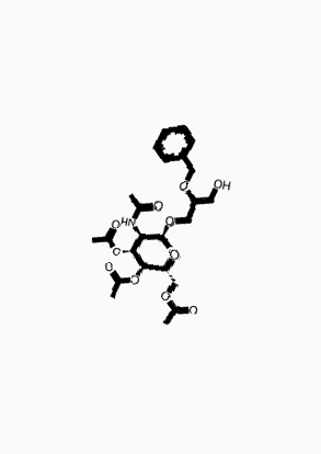 CC(=O)N[C@H]1[C@@H](OCC(CO)OCc2ccccc2)O[C@H](COC(C)=O)[C@@H](OC(C)=O)[C@@H]1OC(C)=O